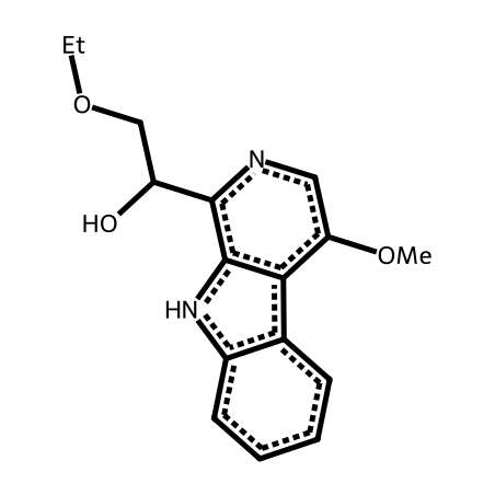 CCOCC(O)c1ncc(OC)c2c1[nH]c1ccccc12